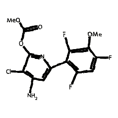 COC(=O)Oc1nc(-c2c(F)cc(F)c(OC)c2F)cc(N)c1Cl